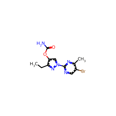 CCc1nn(-c2ncc(Br)c(C)n2)cc1OC(N)=O